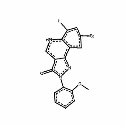 COc1ccccc1-n1nc2c3cc(Br)cc(F)c3[nH]cc-2c1=O